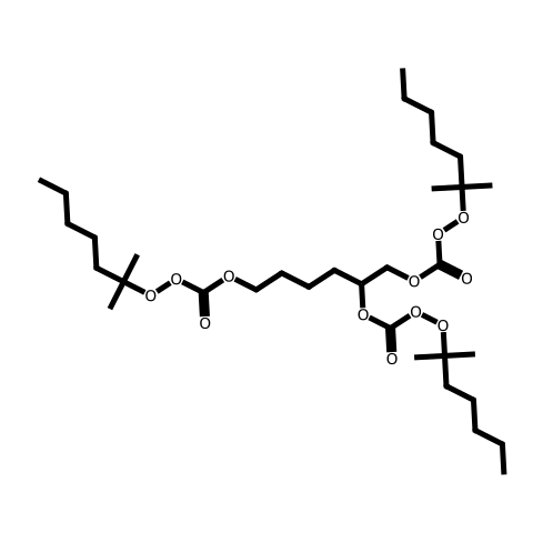 CCCCCC(C)(C)OOC(=O)OCCCCC(COC(=O)OOC(C)(C)CCCCC)OC(=O)OOC(C)(C)CCCCC